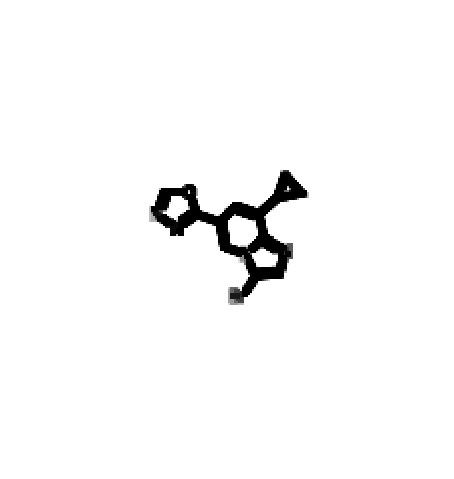 Brc1cnc2c(C3CC3)cc(-c3nnco3)cn12